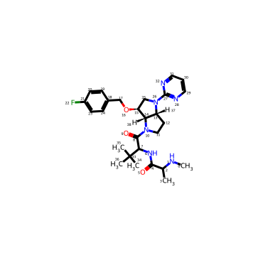 CNC(C)C(=O)NC(C(=O)N1CC[C@@H]2[C@H]1[C@@H](OCc1ccc(F)cc1)CN2c1ncccn1)C(C)(C)C